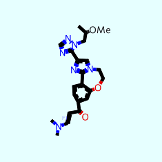 COC(C)Cn1ncnc1-c1cn2c(n1)-c1ccc(C(=O)/C=C/N(C)C)cc1OCC2